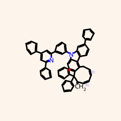 C=C1/C=C\C=C/Cc2c(ccc3c2c2ccc(-c4ccccc4)cc2n3-c2cccc(-c3cc(-c4ccccc4)cc(-c4ccccc4)n3)c2)C1(c1ccccc1)c1ccccc1